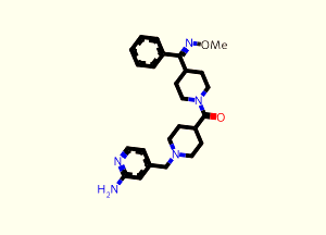 CON=C(c1ccccc1)C1CCN(C(=O)C2CCN(Cc3ccnc(N)c3)CC2)CC1